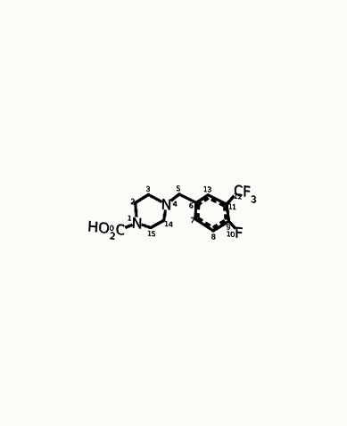 O=C(O)N1CCN(Cc2ccc(F)c(C(F)(F)F)c2)CC1